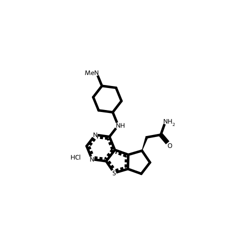 CNC1CCC(Nc2ncnc3sc4c(c23)[C@@H](CC(N)=O)CC4)CC1.Cl